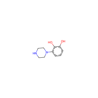 Oc1cccc(N2CCNCC2)c1O